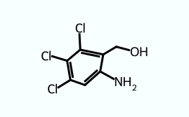 Nc1cc(Cl)c(Cl)c(Cl)c1CO